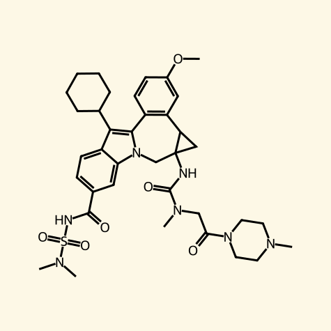 COc1ccc2c(c1)C1CC1(NC(=O)N(C)CC(=O)N1CCN(C)CC1)Cn1c-2c(C2CCCCC2)c2ccc(C(=O)NS(=O)(=O)N(C)C)cc21